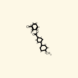 CC1CCC(C2CCC(C(=O)Oc3cccc(Cl)c3F)CC2)CC1